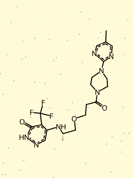 Cc1cnc(N2CCN(C(=O)CCOC[C@H](C)Nc3cn[nH]c(=O)c3C(F)(F)F)CC2)nc1